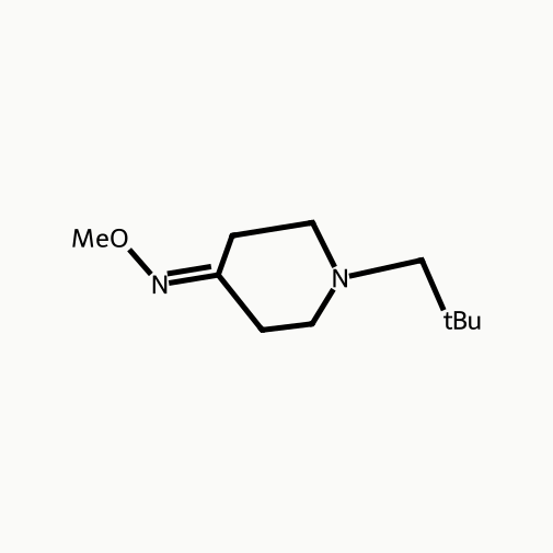 CON=C1CCN(CC(C)(C)C)CC1